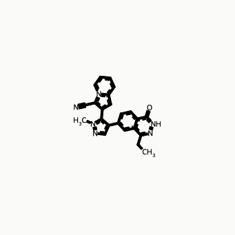 CCc1n[nH]c(=O)c2ccc(-c3cnn(C)c3-c3cc4ccccn4c3C#N)cc12